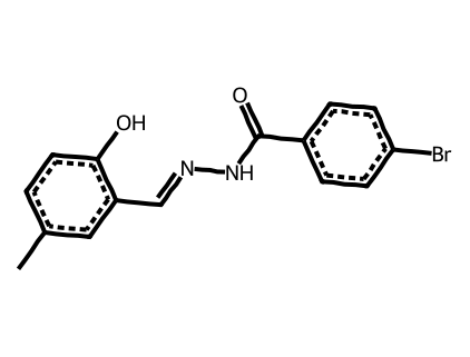 Cc1ccc(O)c(/C=N/NC(=O)c2ccc(Br)cc2)c1